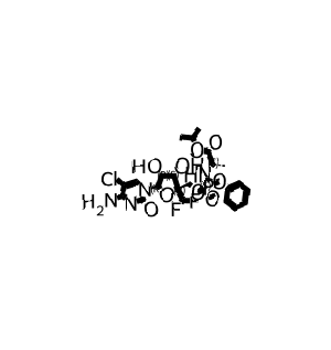 CC(C)OC(=O)[C@H](C)N[P@](=O)(OC[C@@]1(C(F)F)O[C@@H](n2cc(Cl)c(N)nc2=O)[C@H](O)[C@@H]1O)Oc1ccccc1